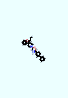 CCCC(=O)C1(c2ccccc2)CCN(C(=O)CN(C)C(=O)c2ccc(-c3ccccc3)cc2)CC1